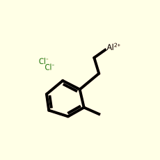 Cc1ccccc1C[CH2][Al+2].[Cl-].[Cl-]